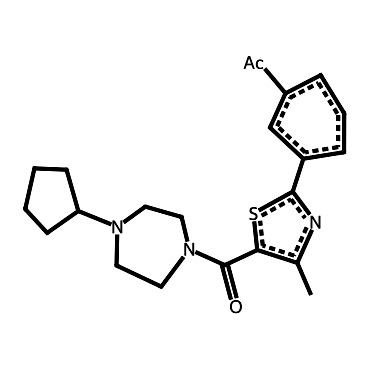 CC(=O)c1cccc(-c2nc(C)c(C(=O)N3CCN(C4CCCC4)CC3)s2)c1